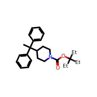 CCC(CC)(CC)OC(=O)N1CCC(C(C)(c2ccccc2)c2ccccc2)CC1